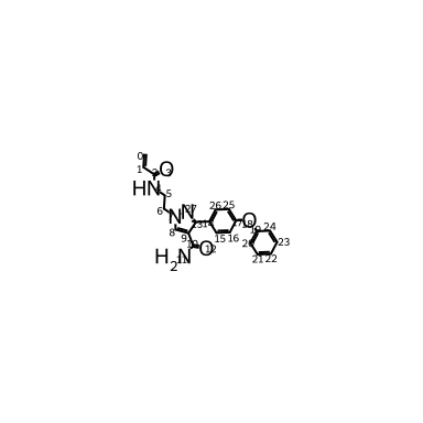 C=CC(=O)NCCn1cc(C(N)=O)c(-c2ccc(Oc3ccccc3)cc2)n1